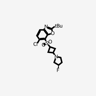 CC(C)(C)c1nc2ccc(Cl)c(S(=O)(=O)C3CC(N4CC[C@@H](F)C4)C3)c2o1